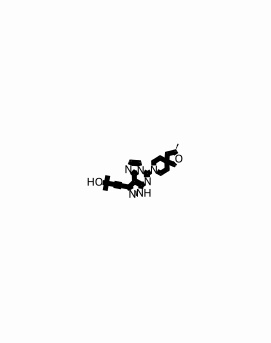 C[C@H]1CC2(CCN(c3nc4[nH]nc(C#CC(C)(C)O)c4c4nccn34)CC2)CO1